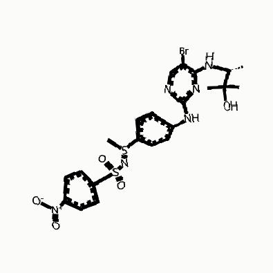 C[C@@H](Nc1nc(Nc2ccc(S(C)=NS(=O)(=O)c3ccc([N+](=O)[O-])cc3)cc2)ncc1Br)C(C)(C)O